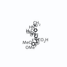 C=CC(=O)Nc1cccc(N(C(=O)C(C)(C)C)c2cc3cc(C(=O)c4c(F)c(OC)cc(OC)c4F)n(C(=O)O)c3cn2)c1C